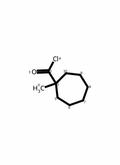 CC1(C(=O)Cl)CCCCCC1